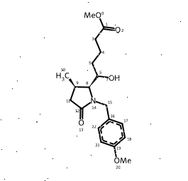 COC(=O)CCCC(O)[C@@H]1[C@H](C)CC(=O)N1Cc1ccc(OC)cc1